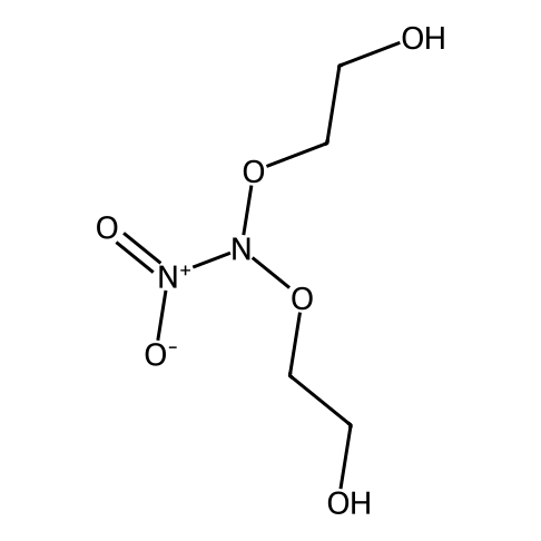 O=[N+]([O-])N(OCCO)OCCO